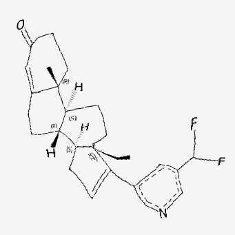 C[C@]12CCC(=O)C=C1CC[C@@H]1[C@@H]2CC[C@]2(C)C(c3cncc(C(F)F)c3)=CC[C@@H]12